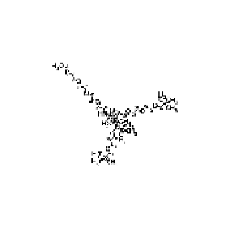 CCOCCOCCOCCOCCNC(C)(C)N(CCOCCOCCOCC(C)(C)C)C(C)(C)N(CCCCOCC(C)(C)C)C(C)(C)C